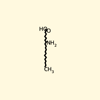 CCCCCCCCCCCCCCC(N)CCCCCC(=O)O